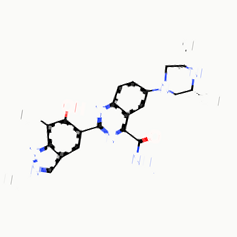 Cc1c(O)c(-c2nc(C(N)=O)c3cc(N4C[C@H](C)N[C@@H](C)C4)ccc3n2)cc2cn(C)nc12